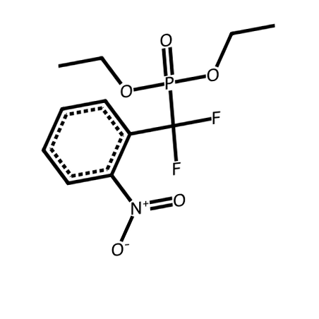 CCOP(=O)(OCC)C(F)(F)c1ccccc1[N+](=O)[O-]